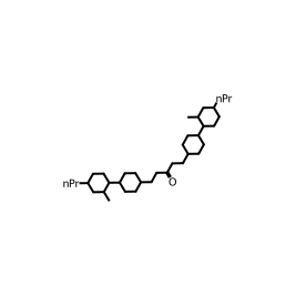 CCCC1CCC(C2CCC(CCC(=O)CCC3CCC(C4CCC(CCC)CC4C)CC3)CC2)C(C)C1